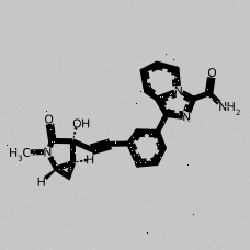 CN1C(=O)[C@@](O)(C#Cc2cccc(-c3nc(C(N)=O)n4ccccc34)c2)[C@H]2C[C@@H]21